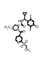 CCS(=O)(=O)c1cc(C(=O)N2C[C@H](C)C[C@@H]2C(=O)NC(c2cc(F)c(Cl)cc2F)C2CC2)ccn1